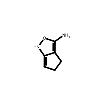 NC1=C2CCC=C2NO1